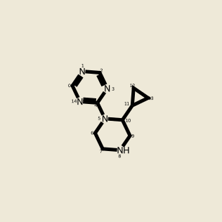 c1ncnc(N2CCNCC2C2CC2)n1